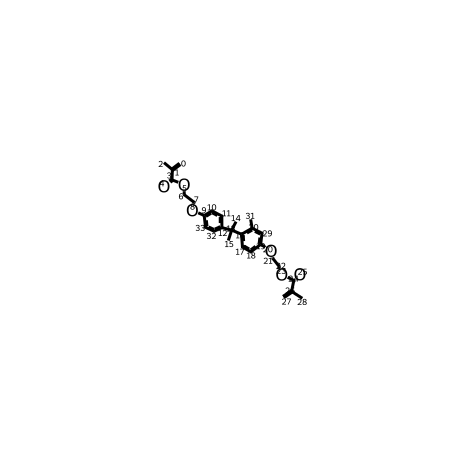 C=C(C)C(=O)OCCOc1ccc(C(C)(C)c2ccc(OCCOC(=O)C(=C)C)cc2C)cc1